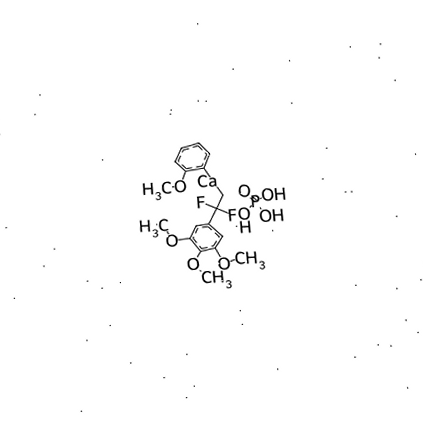 COc1cccc[c]1[Ca][CH2]C(F)(F)c1cc(OC)c(OC)c(OC)c1.O=P(O)(O)O